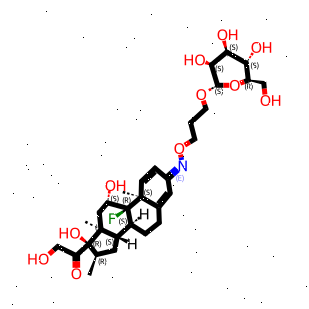 C[C@@H]1C[C@H]2[C@@H]3CCC4=C/C(=N/OCCCO[C@H]5O[C@H](CO)[C@@H](O)[C@H](O)[C@@H]5O)C=C[C@]4(C)[C@@]3(F)[C@@H](O)C[C@]2(C)[C@@]1(O)C(=O)CO